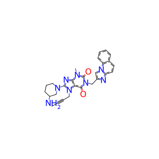 CC#CCn1c(N2CCCC(N)C2)nc2c1c(=O)n(Cc1cn3c(ccc4ccccc43)n1)c(=O)n2C